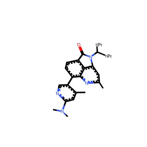 CCCC(CCC)N1C(=O)c2ccc(-c3cnc(N(C)C)cc3C)c3nc(C)cc1c23